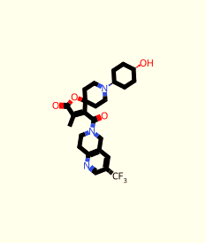 CC1=C(C(=O)N2CCc3ncc(C(F)(F)F)cc3C2)C2(CCN([C@H]3CC[C@@H](O)CC3)CC2)OC1=O